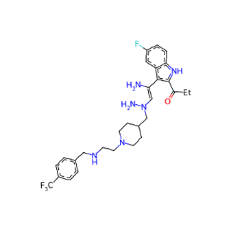 CCC(=O)c1[nH]c2ccc(F)cc2c1/C(N)=C/N(N)CC1CCN(CCNCc2ccc(C(F)(F)F)cc2)CC1